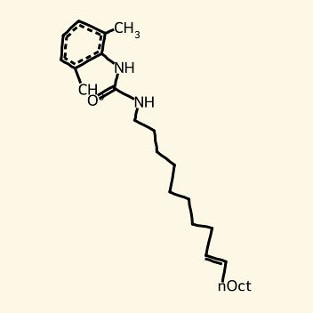 CCCCCCCCC=CCCCCCCCCNC(=O)Nc1c(C)cccc1C